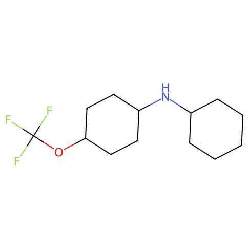 FC(F)(F)OC1CCC(NC2CCCCC2)CC1